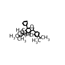 Cc1c(NC(=O)CC(C)(C)C)c(C)c2c(c1-c1ccccc1)OCC2c1ccc(C(C)C)cc1